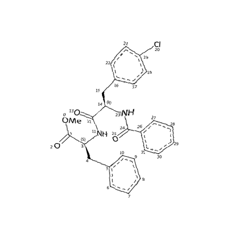 COC(=O)[C@H](Cc1ccccc1)NC(=O)[C@@H](Cc1ccc(Cl)cc1)NC(=O)c1ccccc1